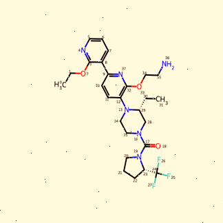 CCOc1ncccc1-c1ccc(N2CCN(C(=O)N3CCC[C@H]3C(F)(F)F)C[C@H]2CC)c(OCCN)n1